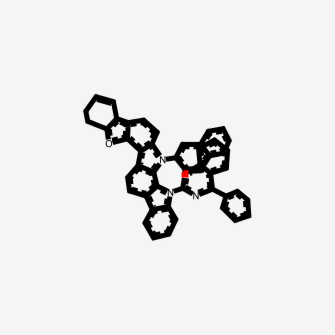 C1=Cc2c(oc3c2ccc2c3c3ccc4c5ccccc5n(-c5nc(-c6ccccc6)c6ccccc6n5)c4c3n2-c2ccc3ccccc3c2)CC1